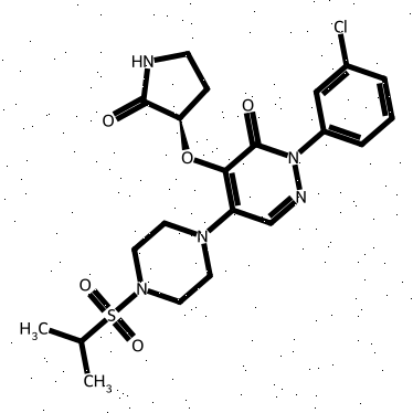 CC(C)S(=O)(=O)N1CCN(c2cnn(-c3cccc(Cl)c3)c(=O)c2O[C@@H]2CCNC2=O)CC1